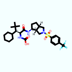 CC(C)(C)[C@H](C1CCCCC1)C(NC(=O)O)C(=O)N[C@H]1CC[C@@H]2CN(S(=O)(=O)c3ccc(C(F)(F)F)cc3)C[C@@H]21